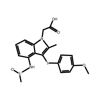 COc1ccc(Sc2c(C)n(CC(=O)O)c3cccc(N[S+](C)[O-])c23)cc1